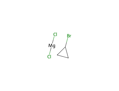 BrC1CC1.[Cl][Mg][Cl]